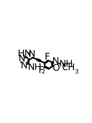 CNc1nc2c(F)c(C#Cc3n[nH]c4ncnc(N)c34)c(F)cc2o1